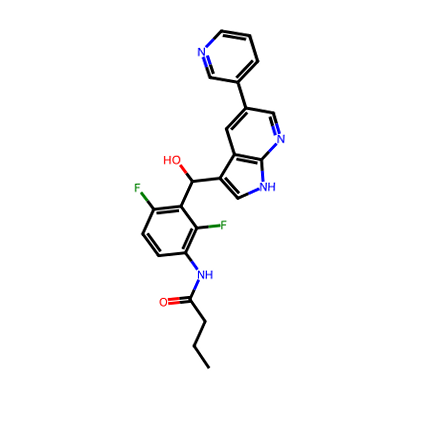 CCCC(=O)Nc1ccc(F)c(C(O)c2c[nH]c3ncc(-c4cccnc4)cc23)c1F